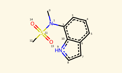 CN(c1cccc2cc[nH]c12)S(C)(=O)=O